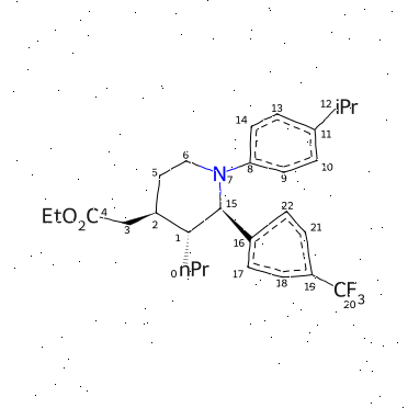 CCC[C@@H]1[C@@H](CC(=O)OCC)CCN(c2ccc(C(C)C)cc2)[C@H]1c1ccc(C(F)(F)F)cc1